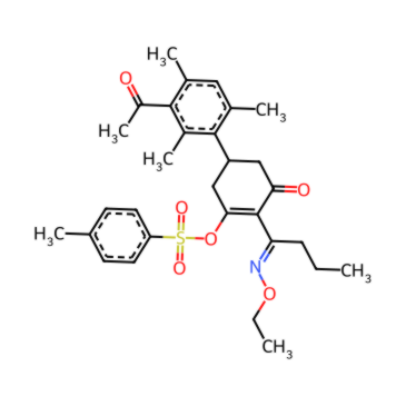 CCC/C(=N\OCC)C1=C(OS(=O)(=O)c2ccc(C)cc2)CC(c2c(C)cc(C)c(C(C)=O)c2C)CC1=O